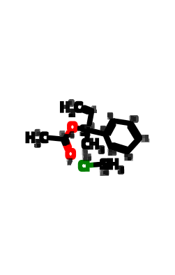 C=C[Si](C)(OC(C)=O)c1ccccc1.[SiH3]Cl